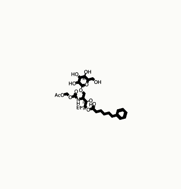 CC[C@@H](OC(=O)CCCCCc1ccccc1)[C@@H](O)C(CO[C@H]1OC(CO)[C@H](O)C(O)C1O)NC(=O)OCOC(C)=O